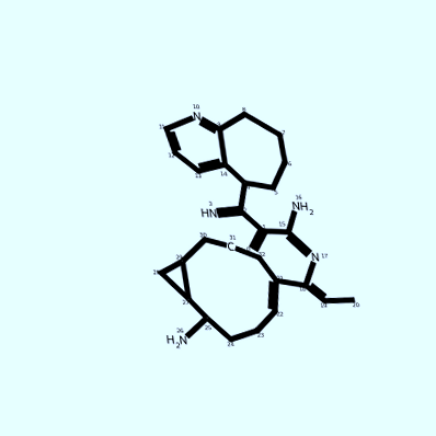 C=C(C(=N)C1CCCCc2ncccc21)\C(N)=N/C(=C\C)C1=C/CCC(N)C2CC2CCC\1